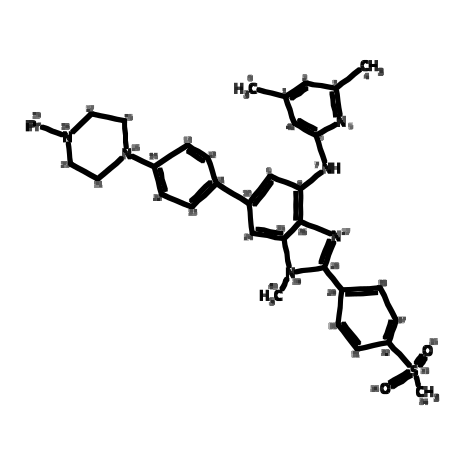 Cc1cc(C)nc(Nc2cc(-c3ccc(N4CCN(C(C)C)CC4)cc3)cc3c2nc(-c2ccc(S(C)(=O)=O)cc2)n3C)c1